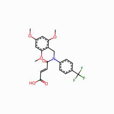 COc1cc(OC)c(CN(C(=O)C=CC(=O)O)c2ccc(C(F)(F)F)cc2)c(OC)c1